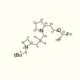 CC(C)(C)CN1CCC1CC(C)(C)CN1CCCC1CCOC(F)F